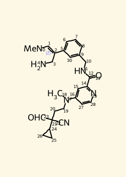 CN/C=C(\CN)c1cccc(CNC(=O)c2cc(N(C)CCC(C#N)(C=O)C3CC3)ccn2)c1